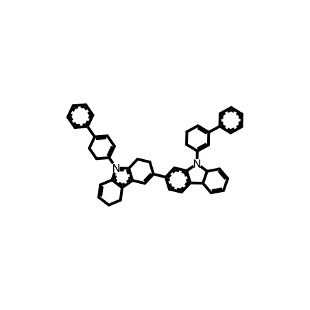 C1=CC2c3ccc(C4=Cc5c6c(n(C7=CC=C(c8ccccc8)CC7)c5CC4)C=CCC6)cc3N(C3=CC(c4ccccc4)=CCC3)C2C=C1